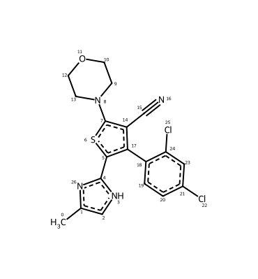 Cc1c[nH]c(-c2sc(N3CCOCC3)c(C#N)c2-c2ccc(Cl)cc2Cl)n1